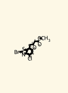 COC(=O)CC1Cc2c(cc(Cl)c3nc(Br)sc23)O1